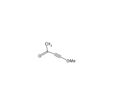 COC#CC(C)=O